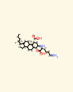 CCC[C@@H](C)[C@H]1CCC2C3CCC4CC(N[C@@H](CCCCN)C(=O)O)CC[C@]4(C)C3CC[C@@]21C.O=CO